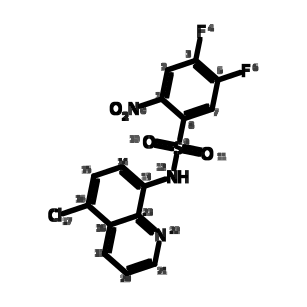 O=[N+]([O-])c1cc(F)c(F)cc1S(=O)(=O)Nc1ccc(Cl)c2cccnc12